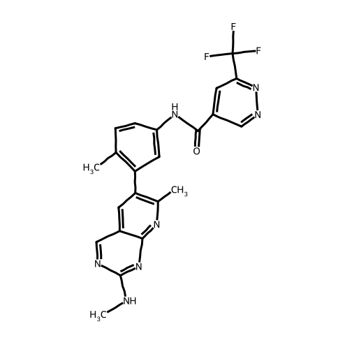 CNc1ncc2cc(-c3cc(NC(=O)c4cnnc(C(F)(F)F)c4)ccc3C)c(C)nc2n1